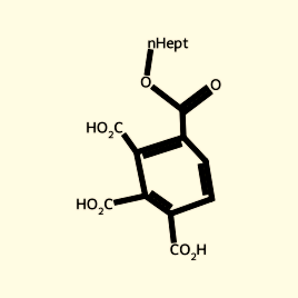 CCCCCCCOC(=O)c1ccc(C(=O)O)c(C(=O)O)c1C(=O)O